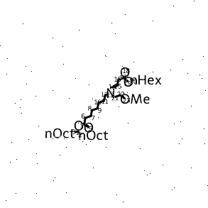 CCCCCCCCC(CCCCCCCC)OC(=O)CCCCCCCN(CCCC(=O)OCCCCCC)CCOC